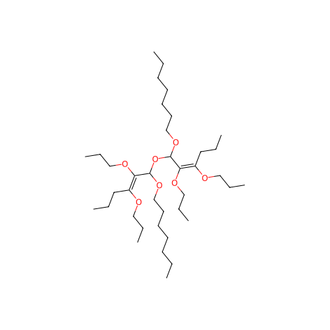 CCCCCCCOC(OC(OCCCCCCC)C(OCCC)=C(CCC)OCCC)C(OCCC)=C(CCC)OCCC